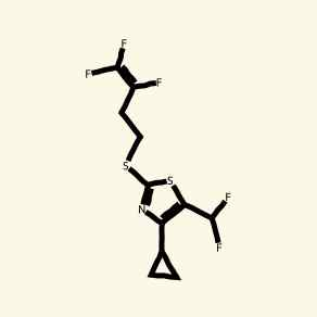 FC(F)=C(F)CCSc1nc(C2CC2)c(C(F)F)s1